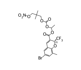 Cc1cc(Br)cc2c1O[C@H](C(F)(F)F)C(C(=O)OC(C)OC(=O)OCC(C)(C)CO[N+](=O)[O-])=C2